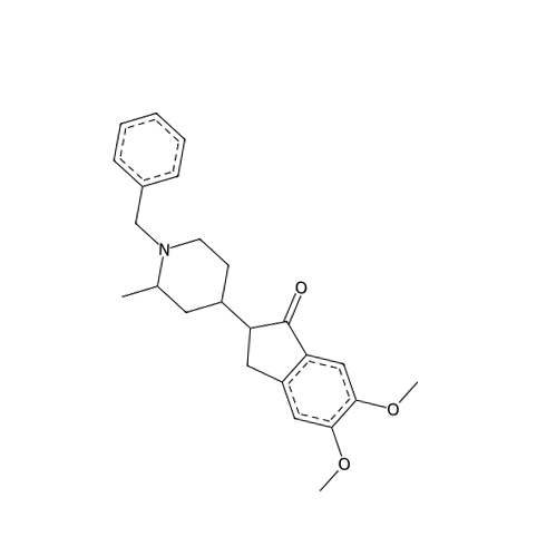 COc1cc2c(cc1OC)C(=O)C(C1CCN(Cc3ccccc3)C(C)C1)C2